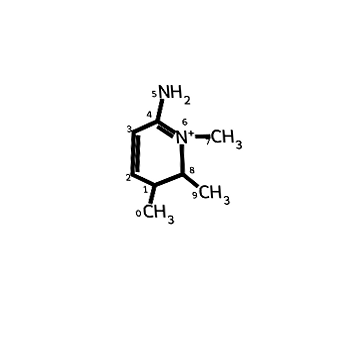 CC1C=CC(N)=[N+](C)C1C